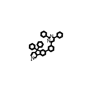 CN1C=CC2=C(C1)c1ccc(-c3cccc(-c4cc(-c5ccccc5)nc(-c5ccccc5)n4)c3)cc1C2(c1ccccc1)c1ccccc1